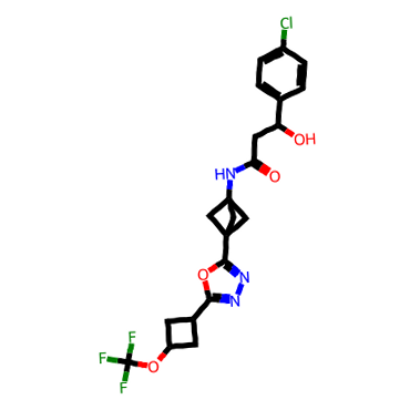 O=C(CC(O)c1ccc(Cl)cc1)NC12CC(c3nnc(C4CC(OC(F)(F)F)C4)o3)(C1)C2